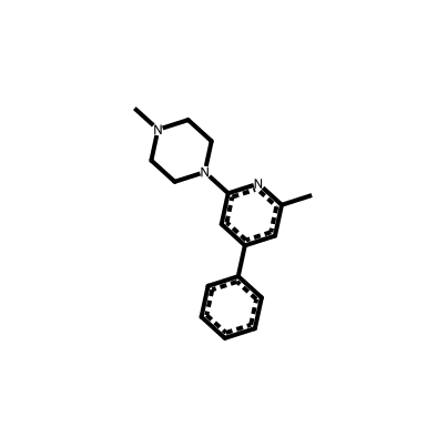 Cc1cc(-c2ccccc2)cc(N2CCN(C)CC2)n1